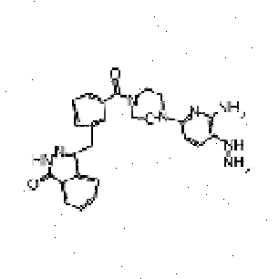 NNc1ccc(N2CCN(C(=O)c3cccc(Cc4n[nH]c(=O)c5ccccc45)c3)CC2)nc1N